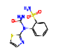 NC(=O)N(c1nccs1)c1ccccc1S(N)(=O)=O